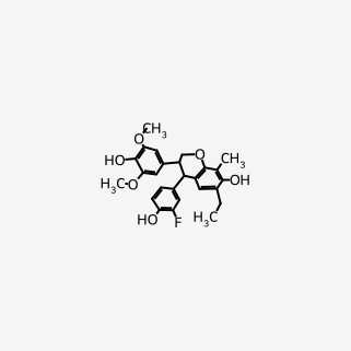 CCc1cc2c(c(C)c1O)OCC(c1cc(OC)c(O)c(OC)c1)C2c1ccc(O)c(F)c1